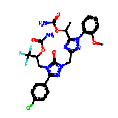 COc1ccccc1-n1nc(Cn2nc(-c3ccc(Cl)cc3)n(CC(OC(N)=O)C(F)(F)F)c2=O)nc1C(C)OC(N)=O